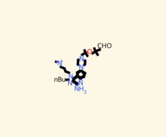 CCCCc1nc2c(N)nc3ccc(N4CCN(CC(C)(C)OCC(C)(C)CC=O)CC4)cc3c2n1CCCCN(C)C